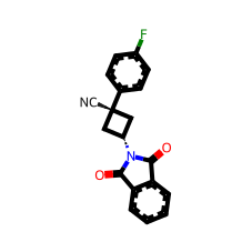 N#C[C@]1(c2ccc(F)cc2)C[C@@H](N2C(=O)c3ccccc3C2=O)C1